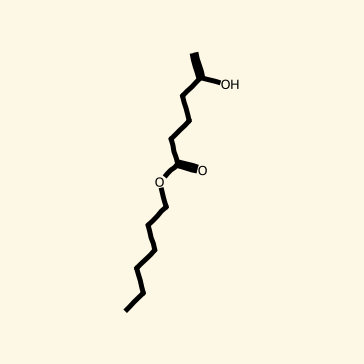 C=C(O)CCCC(=O)OCCCCCC